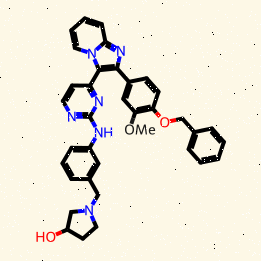 COc1cc(-c2nc3ccccn3c2-c2ccnc(Nc3cccc(CN4CCC(O)C4)c3)n2)ccc1OCc1ccccc1